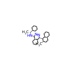 Cc1ccc2ccccc2c1-c1nnc(N[C@H](C)c2ccccc2)c2ccccc12